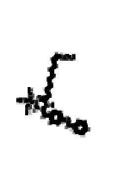 CCCCCCCC/C=C\CCCCCCCC(=O)N[C@@H](CO[PH](O)(O)O)Cc1ccc(OCc2ccccc2)cc1